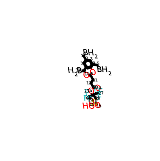 BCc1cc(CB)c(OC(=O)CCC(=O)OC(CS(=O)(=O)O)(C(F)(F)F)C(F)(F)F)c(CB)c1